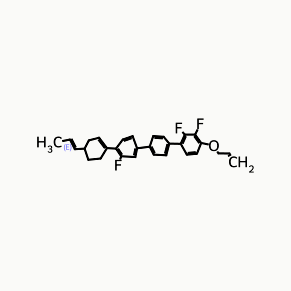 C=CCOc1ccc(-c2ccc(-c3ccc(C4=CCC(/C=C/C)CC4)c(F)c3)cc2)c(F)c1F